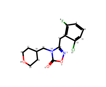 O=c1onc(Cc2c(F)cccc2Cl)n1CC1CCOCC1